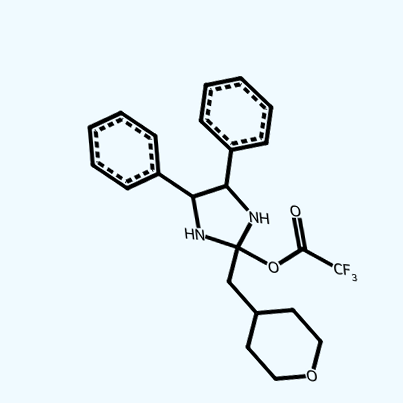 O=C(OC1(CC2CCOCC2)NC(c2ccccc2)C(c2ccccc2)N1)C(F)(F)F